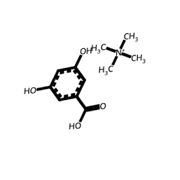 C[N+](C)(C)C.O=C(O)c1cc(O)cc(O)c1